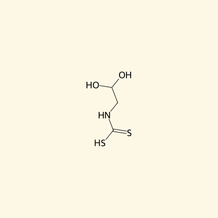 OC(O)CNC(=S)S